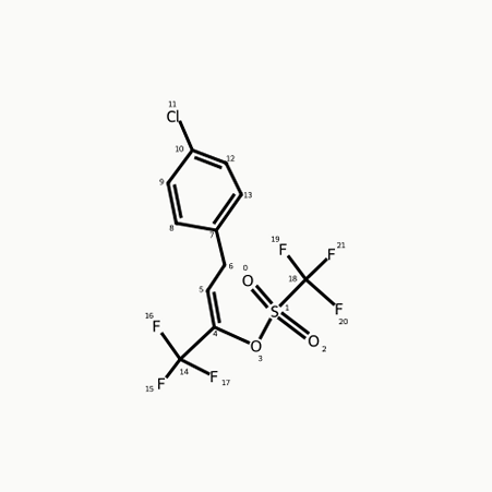 O=S(=O)(OC(=CCc1ccc(Cl)cc1)C(F)(F)F)C(F)(F)F